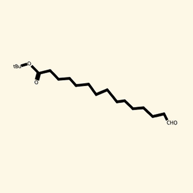 CC(C)(C)OC(=O)CCCCCCCCCCCCCC=O